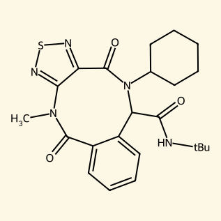 CN1C(=O)c2ccccc2C(C(=O)NC(C)(C)C)N(C2CCCCC2)C(=O)c2nsnc21